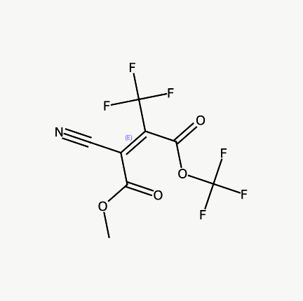 COC(=O)/C(C#N)=C(\C(=O)OC(F)(F)F)C(F)(F)F